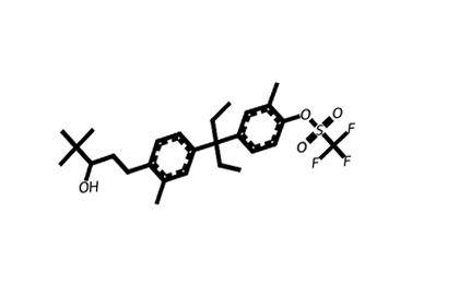 CCC(CC)(c1ccc(CCC(O)C(C)(C)C)c(C)c1)c1ccc(OS(=O)(=O)C(F)(F)F)c(C)c1